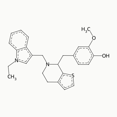 CCn1cc(CN2CCc3ccsc3C2Cc2ccc(O)c(OC)c2)c2ccccc21